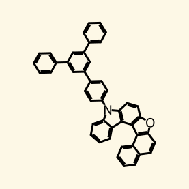 c1ccc(-c2cc(-c3ccccc3)cc(-c3ccc(-n4c5ccccc5c5c6c(ccc54)oc4ccc5ccccc5c46)cc3)c2)cc1